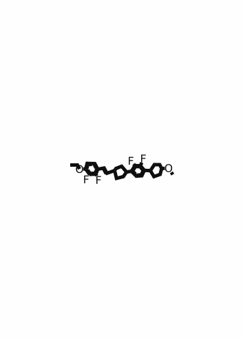 CCOc1ccc(/C=C/C2CCC(c3ccc(C4CCC(OC)CC4)c(F)c3F)CC2)c(F)c1F